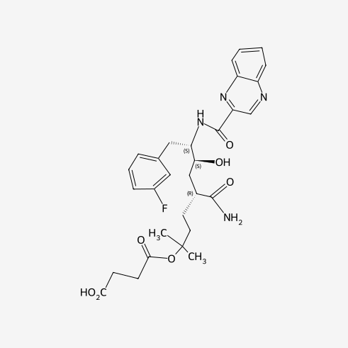 CC(C)(CC[C@H](C[C@H](O)[C@H](Cc1cccc(F)c1)NC(=O)c1cnc2ccccc2n1)C(N)=O)OC(=O)CCC(=O)O